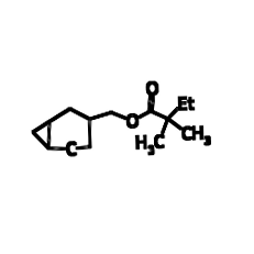 CCC(C)(C)C(=O)OCC1CCC2CC2C1